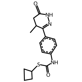 CC1CC(=O)NN=C1c1ccc(NC(=O)SC2CCC2)cc1